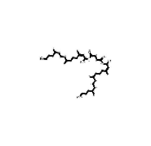 CCC(C=C(C)CCCC(C)CCCC(C)CCCC(C)C)OC(=O)CCC(=O)OC(C=C(C)CCCC(C)CCCC(C)CCCC(C)C)CC